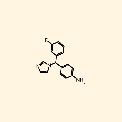 Nc1ccc(C(c2cccc(F)c2)n2ccnc2)cc1